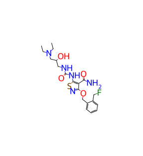 CCN(CC)CC(O)CNC(=O)Nc1snc(OCc2ccccc2CF)c1C(N)=O